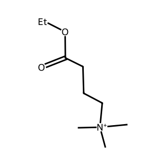 CCOC(=O)CCC[N+](C)(C)C